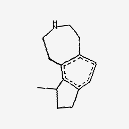 CC1CCc2ccc3c(c21)CCNCC3